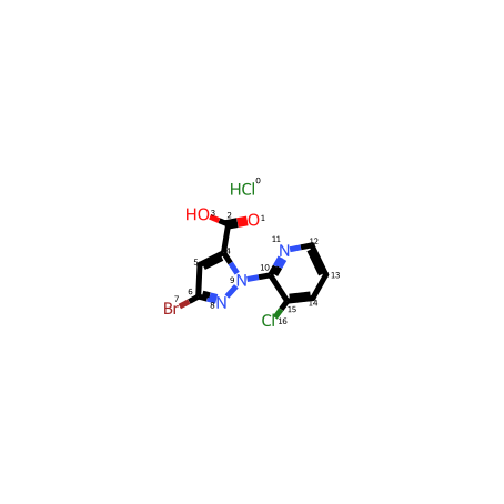 Cl.O=C(O)c1cc(Br)nn1-c1ncccc1Cl